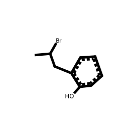 CC(Br)Cc1ccccc1O